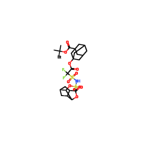 CCC(C)(C)OC(=O)C12CC3CC(CC(OC(=O)C(F)(F)S(=O)(=O)NS(=O)(=O)OC4C5CC6C(=O)OC4C6C5)(C3)C1)C2